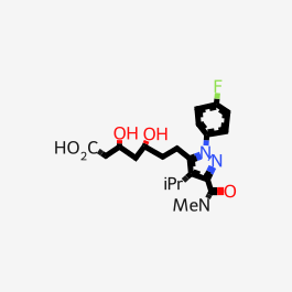 CNC(=O)c1nn(-c2ccc(F)cc2)c(CCC(O)CC(O)CC(=O)O)c1C(C)C